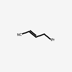 CC(C)C/C=C/C#N